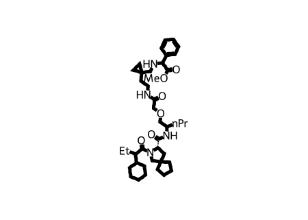 CCCC(COCC(=O)NCCC1(CNC(C(=O)OC)c2ccccc2)CC1)NC(=O)[C@@H]1CC2(CCCC2)CN1C(=O)C(CC)C1CCCCC1